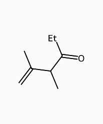 C=C(C)C(C)C(=O)CC